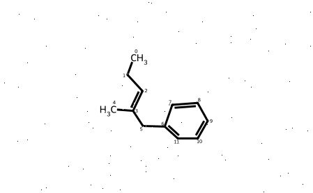 CCC=C(C)Cc1[c]cccc1